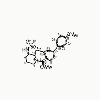 COC(=O)N1CCCC(NS(C)(=O)=O)C1Cc1cccc(-c2ccc(OC)cc2)c1